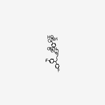 O=C(NO)c1ccc(N2CCN(CCCC(c3ccc(F)cc3)c3ccc(F)cc3)CC2)c([N+](=O)[O-])c1